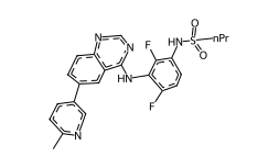 CCCS(=O)(=O)Nc1ccc(F)c(Nc2ncnc3ccc(-c4ccc(C)nc4)cc23)c1F